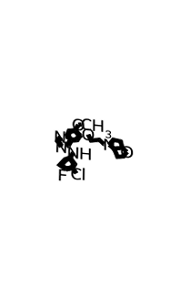 COc1cc2ncnc(Nc3ccc(F)c(Cl)c3)c2cc1OCCCN1CCC2OCCC21